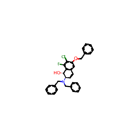 O[C@@H]1c2c(cc(OCc3ccccc3)c(Cl)c2F)C=C[C@H]1N(Cc1ccccc1)Cc1ccccc1